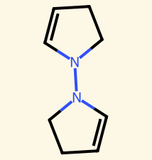 C1=CN(N2C=CCC2)CC1